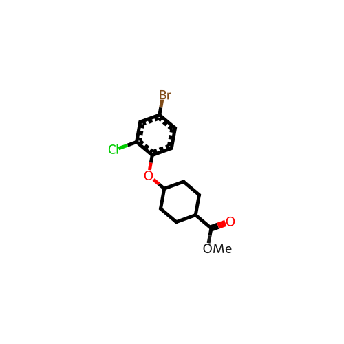 COC(=O)C1CCC(Oc2ccc(Br)cc2Cl)CC1